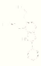 C=CCc1ccc2cc(-c3ccccc3)[nH]c2c1CC=C